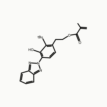 C=C(C)C(=O)OCCc1ccc(-n2nc3ccccc3n2)c(O)c1C(C)(C)C